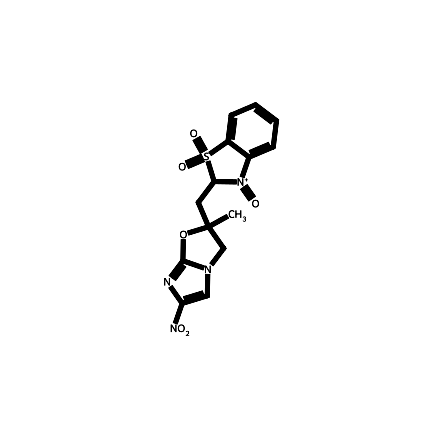 CC1(CC2[N+](=O)c3ccccc3S2(=O)=O)Cn2cc([N+](=O)[O-])nc2O1